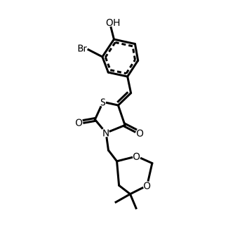 CC1(C)CC(CN2C(=O)S/C(=C\c3ccc(O)c(Br)c3)C2=O)OCO1